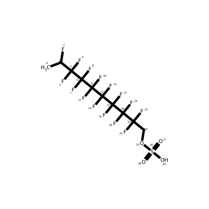 CC(F)C(F)(F)C(F)(F)C(F)(F)C(F)(F)C(F)(F)C(F)(F)C(F)(F)COS(=O)(=O)O